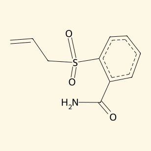 C=CCS(=O)(=O)c1ccccc1C(N)=O